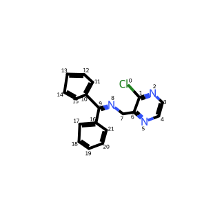 Clc1nccnc1CN=C(c1ccccc1)c1ccccc1